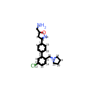 NCC1CC(c2ccc(-c3cc(Cl)ccc3CN3CCCC3)cc2)=NO1